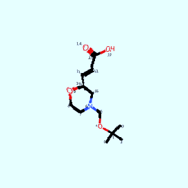 CC(C)(C)OCN1CCO[C@@H](/C=C/C(=O)O)C1